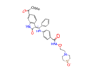 COC(=O)c1ccc2c(c1)NC(=O)/C2=C(\Nc1ccc(C(=O)NOCCN2CC[S+]([O-])CC2)cc1)c1ccccc1